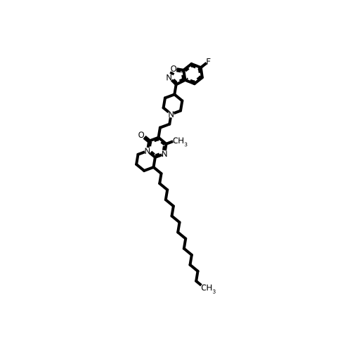 CCCCCCCCCCCCCCCC1CCCn2c1nc(C)c(CCN1CCC(c3noc4cc(F)ccc34)CC1)c2=O